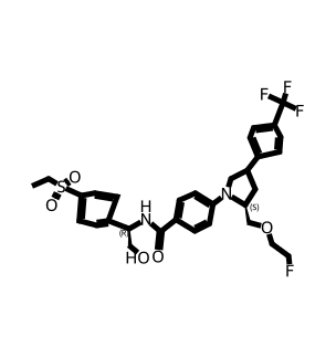 CCS(=O)(=O)c1ccc([C@H](CO)NC(=O)c2ccc(N3CC(c4ccc(C(F)(F)F)cc4)C[C@H]3COCCF)cc2)cc1